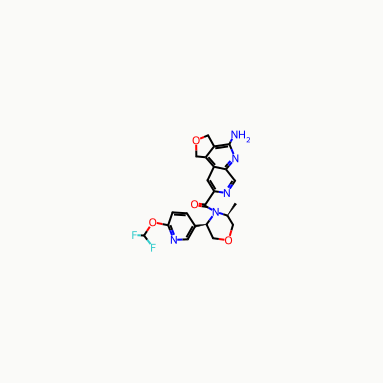 C[C@H]1COC[C@@H](c2ccc(OC(F)F)nc2)N1C(=O)c1cc2c3c(c(N)nc2cn1)COC3